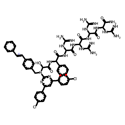 N=C(N)NC(NC(=O)C(NC(=N)N)NC(=O)C(NC(=N)N)NC(=O)C(NC(=N)N)NC(=O)C(NC(=O)C(O)N(Cc1ccc(/C=C/c2ccccc2)cc1)c1nc(-c2ccc(Cl)cc2)cc(-c2ccc(Cl)cc2)n1)c1ccccc1)C(N)=O